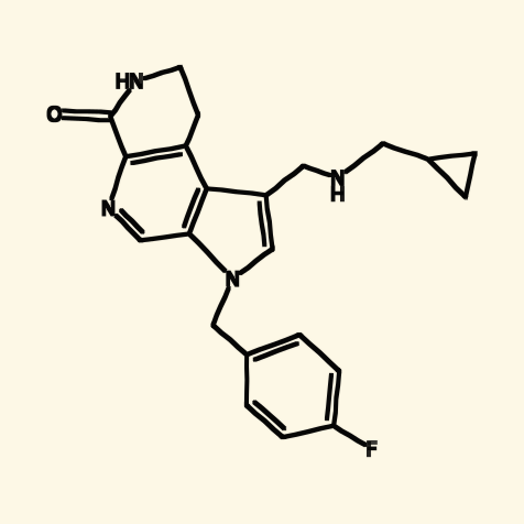 O=C1NCCc2c1ncc1c2c(CNCC2CC2)cn1Cc1ccc(F)cc1